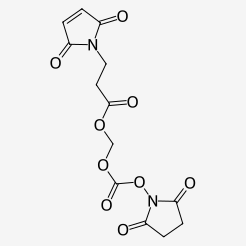 O=C(CCN1C(=O)C=CC1=O)OCOC(=O)ON1C(=O)CCC1=O